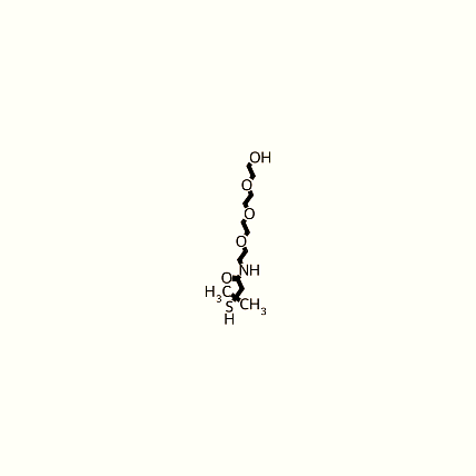 CC(C)(S)CC(=O)NCCOCCOCCOCCO